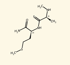 CN[C@@H](C)C(=S)N[C@@H](CCSC)C(N)=O